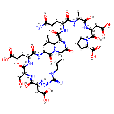 CC(C)C[C@H](NC(=O)[C@H](CCCNC(=N)N)NC(=O)CNC(=O)[C@H](CCC(=O)O)NC(=O)[C@H](CO)NC(=O)[C@@H](N)CC(=O)O)C(=O)N[C@@H](CCC(N)=O)C(=O)N[C@@H](C)C(=O)N[C@@H](CC(=O)O)C(=O)N1CCC[C@H]1C(=O)O